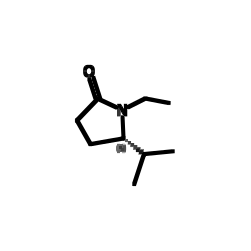 CCN1C(=O)CC[C@H]1C(C)C